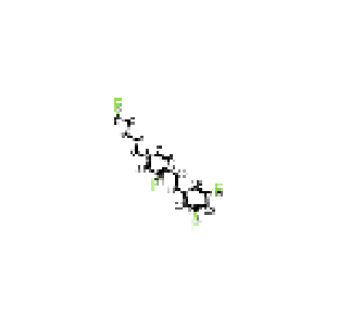 FCCCCCc1ccc(CCc2cc(F)cc(F)c2)c(F)c1